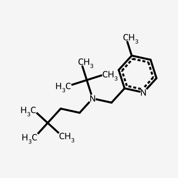 Cc1ccnc(CN(CCC(C)(C)C)C(C)(C)C)c1